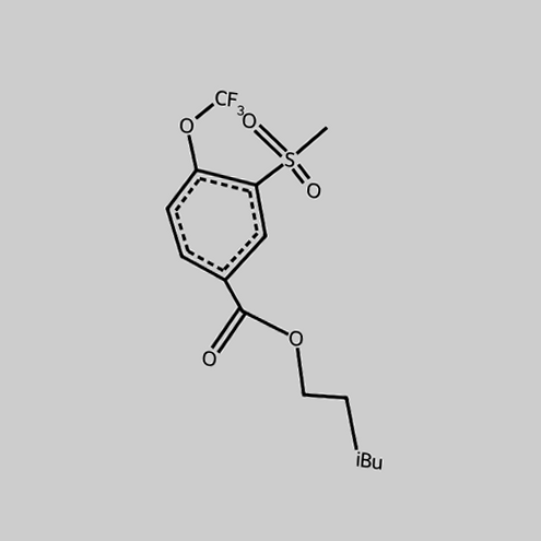 CCC(C)CCOC(=O)c1ccc(OC(F)(F)F)c(S(C)(=O)=O)c1